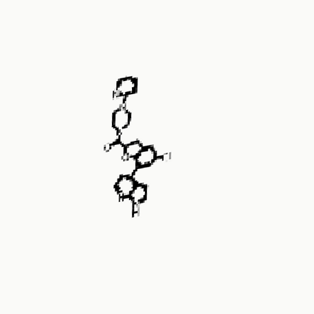 O=C(C1Cc2cc(Cl)cc(-c3ccnc4[nH]ccc34)c2O1)N1CCN(c2ccccn2)CC1